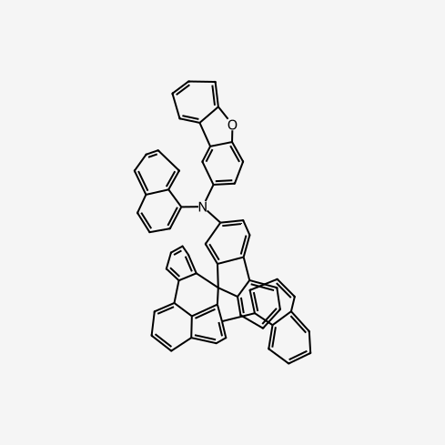 c1ccc2c(c1)-c1ccc(N(c3ccc4oc5ccccc5c4c3)c3cccc4ccccc34)cc1C21c2ccccc2-c2cccc3ccc(-c4cccc5ccccc45)c1c23